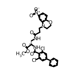 COC(=O)[C@H](CNC(=O)CCN1CCOc2ccc([N+](=O)[O-])cc21)NC(=O)c1c(Cl)cc(-c2ccccc2)cc1Cl